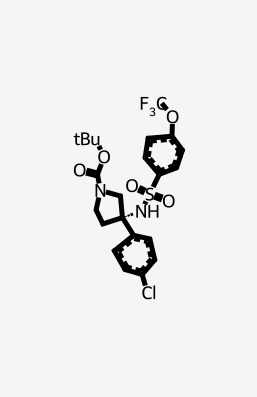 CC(C)(C)OC(=O)N1CC[C@](NS(=O)(=O)c2ccc(OC(F)(F)F)cc2)(c2ccc(Cl)cc2)C1